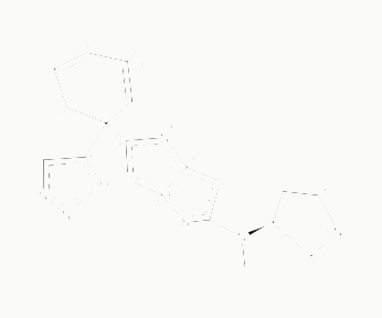 CN(c1nc2sc(C3(c4cn[nH]c4)C=C(O)C=CC3)nc2s1)[C@H]1CCNC1.Cl